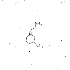 [CH2]C1CCCN(CCN)C1